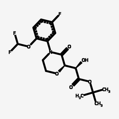 CC(C)(C)OC(=O)[C@H](O)[C@H]1OCCN(c2cc(F)ccc2OC(F)F)C1=O